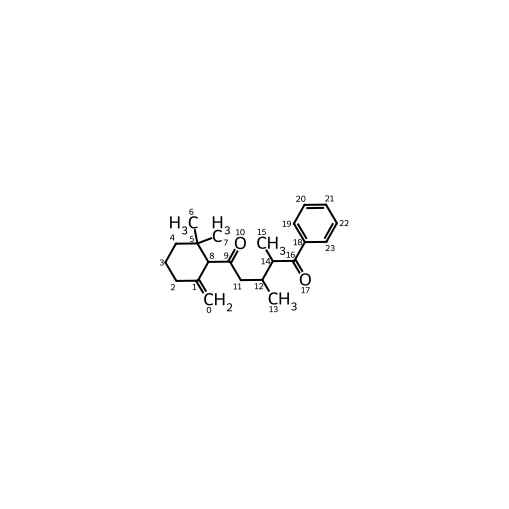 C=C1CCCC(C)(C)C1C(=O)CC(C)C(C)C(=O)c1ccccc1